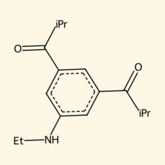 CCNc1cc(C(=O)C(C)C)cc(C(=O)C(C)C)c1